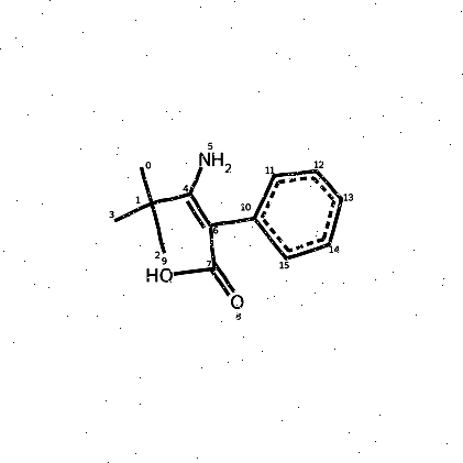 CC(C)(C)C(N)=C(C(=O)O)c1ccccc1